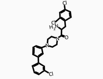 NC(Cc1ccc(Cl)cc1Cl)C(=O)N1CCN(c2cccc(-c3cccc(Cl)c3)c2)CC1